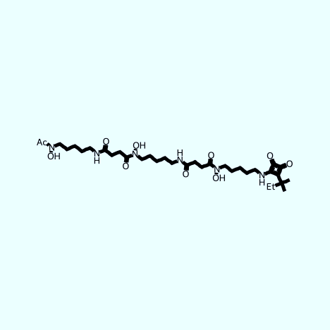 CCC(C)(C)c1c(NCCCCCN(O)C(=O)CCC(=O)NCCCCCN(O)C(=O)CCC(=O)NCCCCCN(O)C(C)=O)c(=O)c1=O